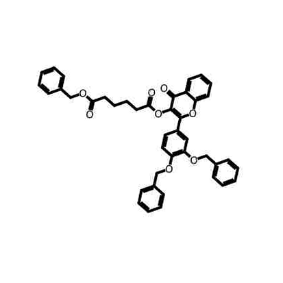 O=C(CCCCC(=O)Oc1c(-c2ccc(OCc3ccccc3)c(OCc3ccccc3)c2)oc2ccccc2c1=O)OCc1ccccc1